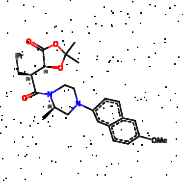 COc1ccc2cc(N3CCN(C(=O)[C@@H](CC(C)C)[C@@H]4OC(C)(C)OC4=O)[C@H](C)C3)ccc2c1